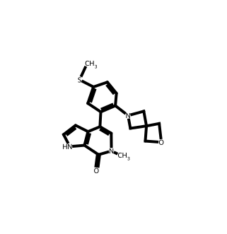 CSc1ccc(N2CC3(COC3)C2)c(-c2cn(C)c(=O)c3[nH]ccc23)c1